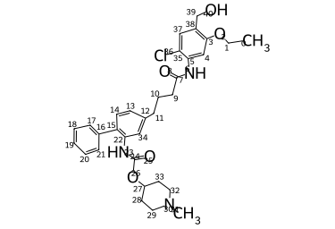 CCOc1cc(NC(=O)CCCc2ccc(-c3ccccc3)c(NC(=O)OC3CCN(C)CC3)c2)c(Cl)cc1CO